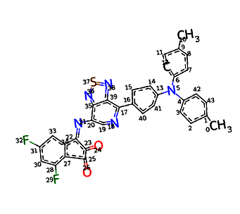 Cc1ccc(N(c2ccc(C)cc2)c2ccc(-c3ncc(/N=c4\c(=O)c(=O)c5c(F)cc(F)cc45)c4nsnc34)cc2)cc1